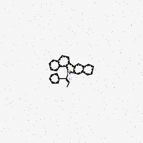 C/C=C(\c1ccccc1)n1c2cc3ccccc3cc2c2ccc3ccccc3c21